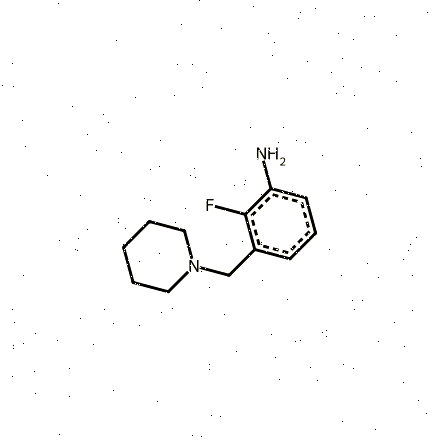 Nc1cccc(CN2CCCCC2)c1F